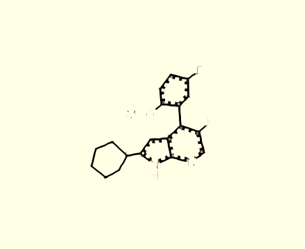 COc1ccc(F)cc1-c1c(F)cnc2[nH]c(C3CCCCC3)cc12